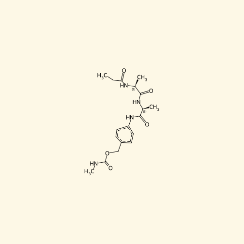 CCC(=O)N[C@@H](C)C(=O)N[C@@H](C)C(=O)Nc1ccc(COC(=O)NC)cc1